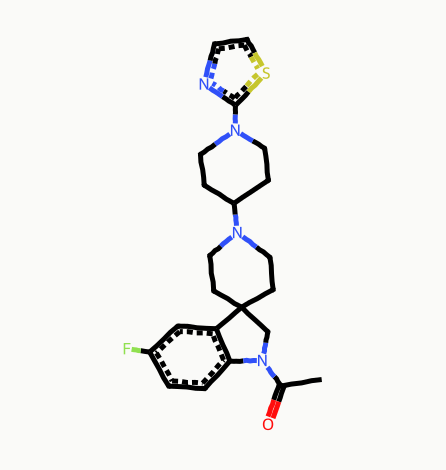 CC(=O)N1CC2(CCN(C3CCN(c4nccs4)CC3)CC2)c2cc(F)ccc21